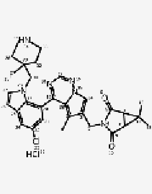 Cc1c(CN2C(=O)C3C(C2=O)C3(C)C)cn2ncnc(-c3cc(Cl)cc4ccn(CC5(F)CCNCC5)c34)c12.Cl